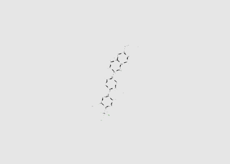 CCc1ccc2c(F)c(-c3ccc(-c4cc(F)c(C(F)(F)F)c(F)c4)c(F)c3)ccc2c1